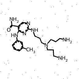 Cc1cccc(Nc2nc(NCCCN(CCCN)CCCN)ncc2C(N)=O)c1